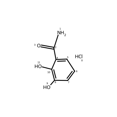 Cl.NC(=O)c1cccc(O)c1O